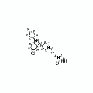 O=C1NCCN1CCCCN1CCC(c2cn(-c3ccc(F)cc3)c3ccc(Cl)cc23)CC1